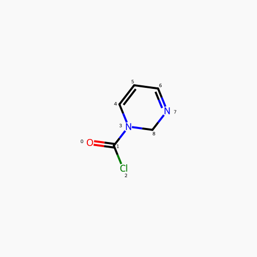 O=C(Cl)N1C=CC=NC1